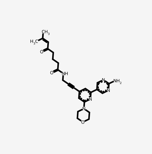 CC(C)=CC(=O)CCCC(=O)NCC#Cc1cc(-c2cnc(N)nc2)nc(N2CCOCC2)c1